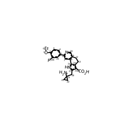 CCOc1ccc(-c2cc3c(cn2)CCc2c-3[nH]c(CC3(N)CC3)c2C(=O)O)cc1F